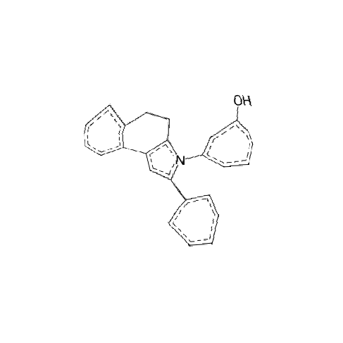 Oc1cccc(-n2c(-c3ccccc3)cc3c2CCc2ccccc2-3)c1